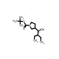 CCC(CC)[C@H](O)C1CCN(C(=O)OC(C)(C)C)C1